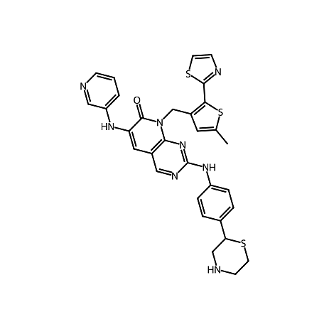 Cc1cc(Cn2c(=O)c(Nc3cccnc3)cc3cnc(Nc4ccc(C5CNCCS5)cc4)nc32)c(-c2nccs2)s1